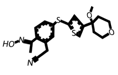 COC1(c2csc(Sc3ccc(/C(C)=N/O)c(CC#N)c3)c2)CCOCC1